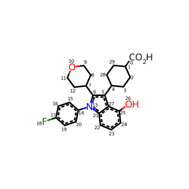 O=C(O)C1CCC(c2c(C3CCOCC3)n(-c3ccc(F)cc3)c3cccc(O)c23)CC1